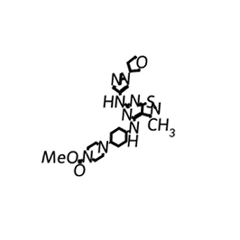 COC(=O)N1CCN([C@H]2CC[C@H](Nc3nc(Nc4cnn(C5CCOC5)c4)nc4snc(C)c34)CC2)CC1